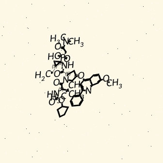 C=C[C@@H]1C[C@]1(NC(=O)[C@@H]1C[C@@H](Oc2cc(-c3ccccc3)nc3cc(OC)ccc23)CN1C(=O)[C@@H](NC(=O)OC1CCCC1)C(C)(C)C)P(=O)(O)CC(=O)N(C)C